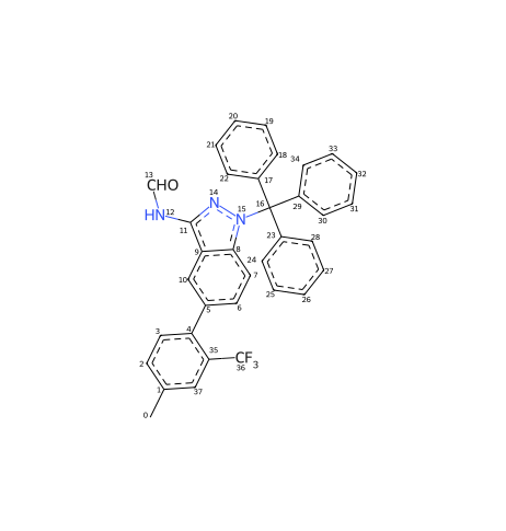 Cc1ccc(-c2ccc3c(c2)c(NC=O)nn3C(c2ccccc2)(c2ccccc2)c2ccccc2)c(C(F)(F)F)c1